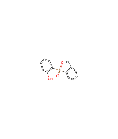 CC(C)c1ccccc1S(=O)(=O)c1ccccc1O